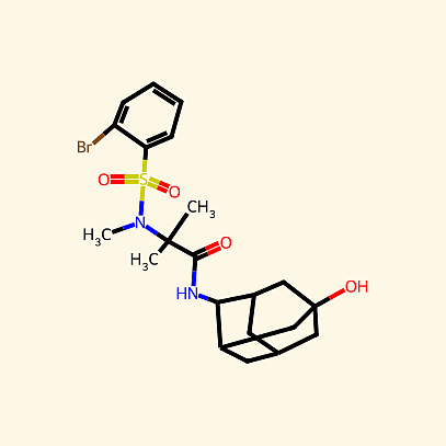 CN(C(C)(C)C(=O)NC1C2CC3CC1CC(O)(C3)C2)S(=O)(=O)c1ccccc1Br